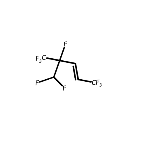 FC(F)C(F)(C=CC(F)(F)F)C(F)(F)F